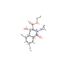 CCOC(=O)c1c(O)c2c(C)cc(F)cc2c(=O)n1C1CC1